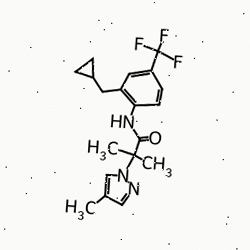 Cc1cnn(C(C)(C)C(=O)Nc2ccc(C(F)(F)F)cc2CC2CC2)c1